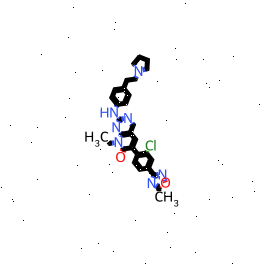 CCn1c(=O)c(-c2ccc(-c3noc(C)n3)cc2Cl)cc2cnc(Nc3ccc(CCN4CCCC4)cc3)nc21